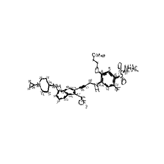 COCCOc1cc(S(=O)(=O)NC(C)=O)c(F)cc1NCC#Cc1sc2c(NC3CCN(C4CC4)CC3)cccc2c1CC(F)(F)F